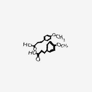 COc1ccc(CCC(=O)O)cc1.COc1ccc(CCC(=O)O)cc1